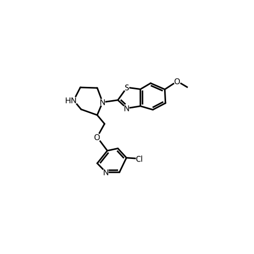 COc1ccc2nc(N3CCNCC3COc3cncc(Cl)c3)sc2c1